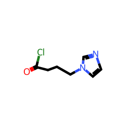 O=C(Cl)CCCn1ccnc1